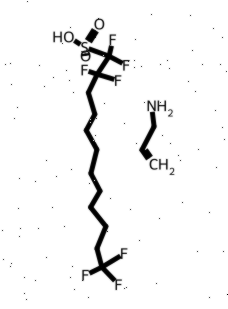 C=CCN.O=S(=O)(O)C(F)(F)C(F)(F)CCCCCCCCCC(F)(F)F